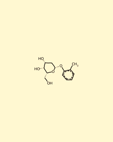 Cc1ccccc1O[C@H]1C[C@@H](O)[C@@H](O)[C@@H](CO)O1